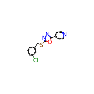 Clc1cccc(CSc2nnc(-c3ccncc3)o2)c1